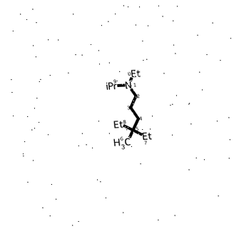 CCN(CCCC(C)(CC)CC)C(C)C